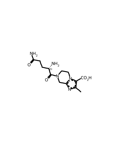 Cc1nc2n(c1C(=O)O)CCN(C(=O)[C@@H](N)CCC(N)=O)C2